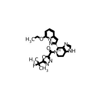 CCOc1cccc2cc([C@@H]3c4nc[nH]c4CCN3C(=O)c3nnc(C(C)(C)F)o3)nn12